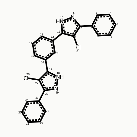 Clc1c(-c2ccccc2)n[nH]c1-c1cccc(-c2[nH]nc(-c3ccccc3)c2Cl)c1